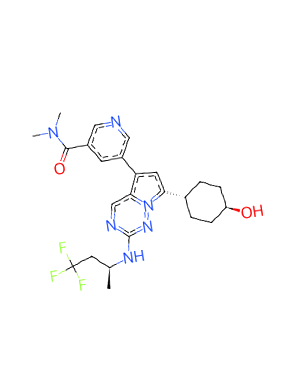 C[C@@H](CC(F)(F)F)Nc1ncc2c(-c3cncc(C(=O)N(C)C)c3)cc([C@H]3CC[C@H](O)CC3)n2n1